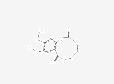 COc1cc2c(cc1OC)C(=O)NCCCCC(=O)N2